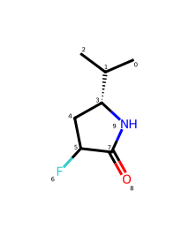 CC(C)[C@H]1CC(F)C(=O)N1